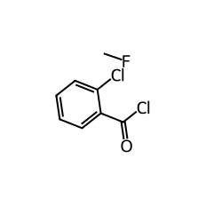 CF.O=C(Cl)c1ccccc1Cl